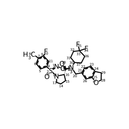 CN=S(=O)(c1ccc(C)c(F)c1)N1CCC[C@H]1C(=O)N(Cc1ccc2c(c1)OCC2)C1CCC(F)(F)CC1